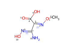 CO/N=C(C(=O)O)/C(N)=N/O